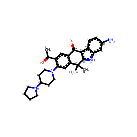 CC(=O)c1cc2c(cc1N1CCC(N3CCCC3)CC1)C(C)(C)c1[nH]c3cc(N)ccc3c1C2=O